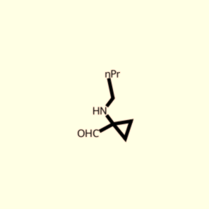 CCCCNC1(C=O)CC1